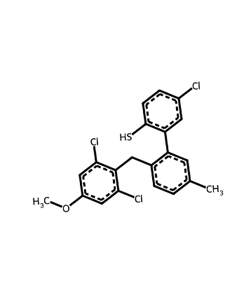 COc1cc(Cl)c(Cc2ccc(C)cc2-c2cc(Cl)ccc2S)c(Cl)c1